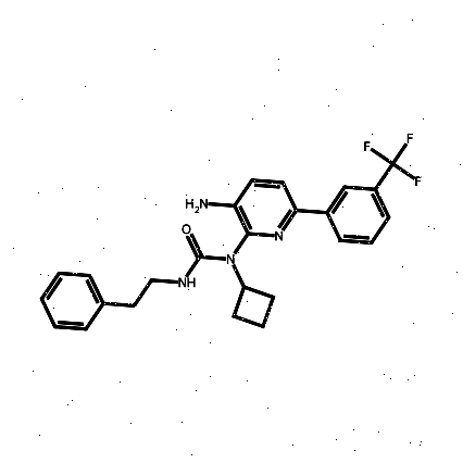 Nc1ccc(-c2cccc(C(F)(F)F)c2)nc1N(C(=O)NCCc1ccccc1)C1CCC1